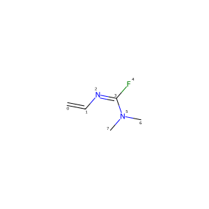 C=C/N=C(/F)N(C)C